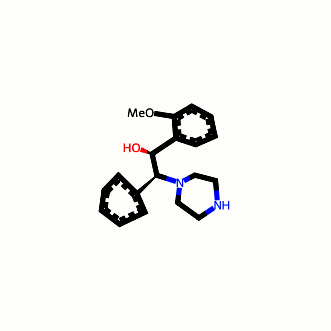 COc1ccccc1[C@H](O)[C@H](c1ccccc1)N1CCNCC1